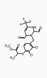 COC(=O)C(C)Oc1ccc(CN2C(C=O)C=C(C(F)(F)F)NC2C=O)c(Cl)c1Cl